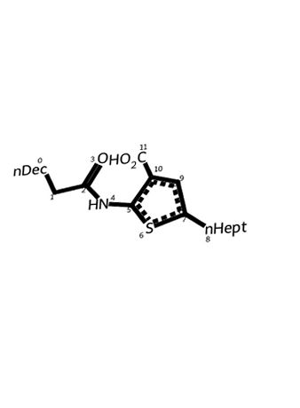 CCCCCCCCCCCC(=O)Nc1sc(CCCCCCC)cc1C(=O)O